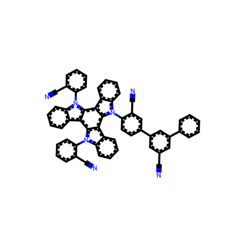 N#Cc1cc(-c2ccccc2)cc(-c2ccc(-n3c4ccccc4c4c5c(c6ccccc6n5-c5ccccc5C#N)c5c(c6ccccc6n5-c5ccccc5C#N)c43)c(C#N)c2)c1